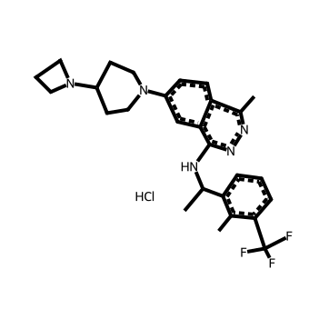 Cc1c(C(C)Nc2nnc(C)c3ccc(N4CCC(N5CCC5)CC4)cc23)cccc1C(F)(F)F.Cl